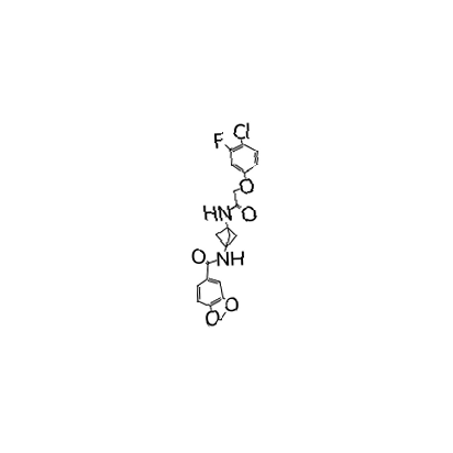 O=C(COc1ccc(Cl)c(F)c1)NC12CC(NC(=O)c3ccc4c(c3)OCO4)(C1)C2